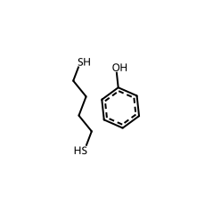 Oc1ccccc1.SCCCCS